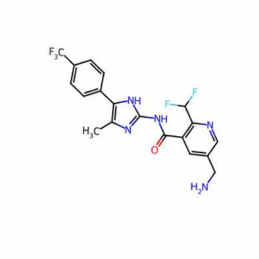 Cc1nc(NC(=O)c2cc(CN)cnc2C(F)F)[nH]c1-c1ccc(C(F)(F)F)cc1